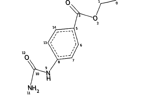 CCOC(=O)c1ccc(NC(N)=O)cc1